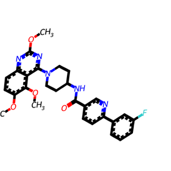 COc1nc(N2CCC(NC(=O)c3ccc(-c4cccc(F)c4)nc3)CC2)c2c(OC)c(OC)ccc2n1